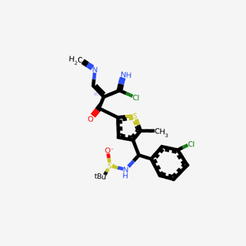 C=N/C=C(\C(=N)Cl)C(=O)c1cc(C(N[S+]([O-])C(C)(C)C)c2cccc(Cl)c2)c(C)s1